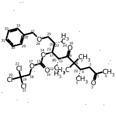 CC(=O)C[C@H](C)C(C)(C)C(=O)[C@H](C)[C@@H](OC(=O)OCC(Cl)(Cl)Cl)[C@@H](C)COCc1ccccc1